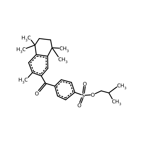 Cc1cc2c(cc1C(=O)c1ccc(S(=O)(=O)OCC(C)C)cc1)C(C)(C)CCC2(C)C